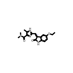 CCOc1ccc2c(c1)/C(=C/c1nc(C(=O)N(C)C)c(C)[nH]1)C(=O)N2